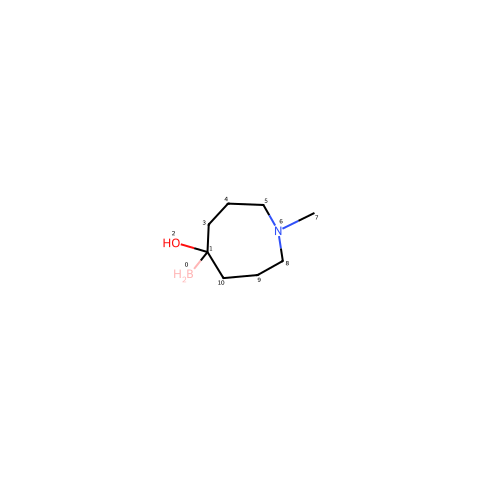 BC1(O)CCCN(C)CCC1